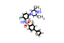 C[C@@H]1CN(c2ccc(F)c(NS(=O)(=O)c3ccc(-c4cccs4)cc3F)c2)C[C@H](C)N1